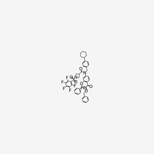 O=C(NOCc1ccccc1)c1ccc(N(Cc2ccc(C3CCCCC3)cc2)C(=O)C2CN(S(=O)(=O)c3c(F)c(F)c(F)c(F)c3F)C2)cc1OCc1ccccc1